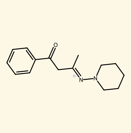 C/C(CC(=O)c1ccccc1)=N\N1CCCCC1